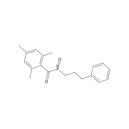 Cc1cc(C)c(C(=O)[PH](=O)CCCc2ccccc2)c(C)c1